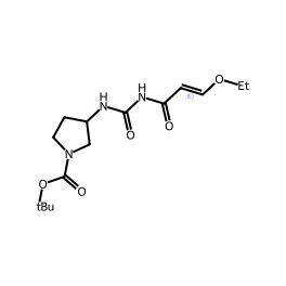 CCO/C=C/C(=O)NC(=O)NC1CCN(C(=O)OC(C)(C)C)C1